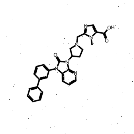 Cn1c(C(=O)O)cnc1CN1CCC(n2c(=O)n(-c3cccc(-c4ccccc4)c3)c3cccnc32)C1